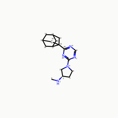 CN[C@@H]1CCN(c2ncnc(C34CC5CC(CC3C5)C4)n2)C1